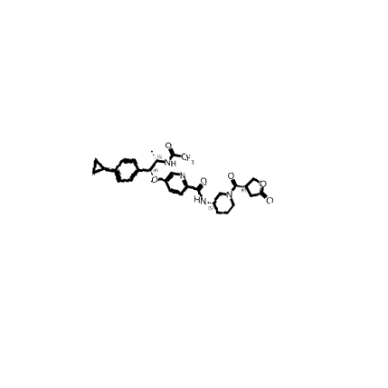 C[C@H](NC(=O)C(F)(F)F)[C@H](Oc1ccc(C(=O)N[C@H]2CCCN(C(=O)[C@H]3COC(=O)C3)C2)nc1)c1ccc(C2CC2)cc1